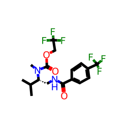 CC(C)[C@@H](CNC(=O)c1ccc(C(F)(F)F)cc1)N(C)C(=O)OCC(F)(F)F